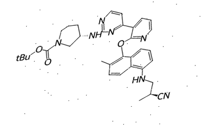 Cc1ccc2c(NC[C@H](C)C#N)cccc2c1Oc1ncccc1-c1ccnc(N[C@H]2CCCN(C(=O)OC(C)(C)C)C2)n1